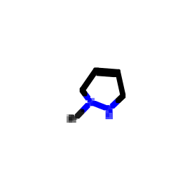 CC(C)N1CC=CCN1